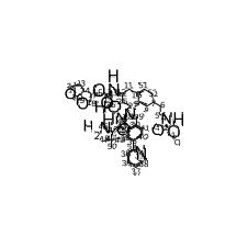 COC(=O)NCCC1C=CC(CC(NC(=O)OC2COC3OCCC23)C(O)CN(Cc2ccc(-c3ccccn3)cc2)NC(=O)C(N)C(C)(C)C)=CC1